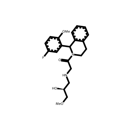 COC[C@@H](O)CNCC(=O)N1CCc2ccccc2C1c1cc(F)ccc1OC